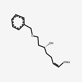 CCCCCC/C=C\CC[C@@H](O)CCOCc1ccccc1